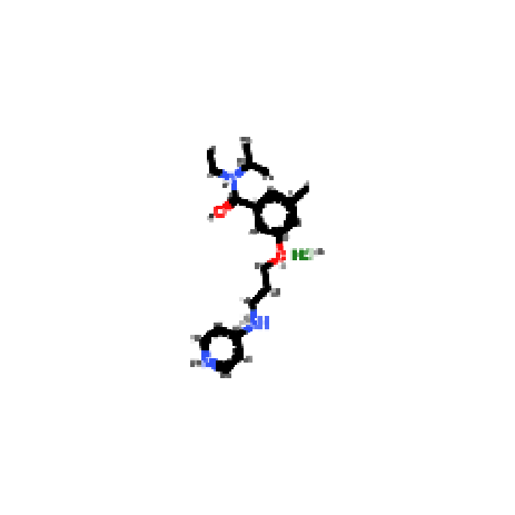 CCN(C(=O)c1cc(C)cc(OCCCNc2ccncc2)c1)C(C)C.Cl